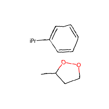 CC(C)c1ccccc1.CC1CCOO1